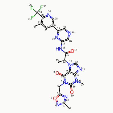 Cc1noc(Cn2c(=O)c3c(ncn3[C@@H](C)C(=O)Nc3cncc(-c4cnc(C(F)(F)F)c(C)c4)n3)n(C)c2=O)n1